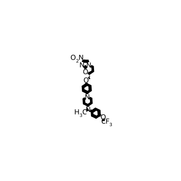 CN(c1ccc(OC(F)(F)F)cc1)C1CCN(c2ccc(OC[C@H]3CCn4cc([N+](=O)[O-])nc4O3)cc2)CC1